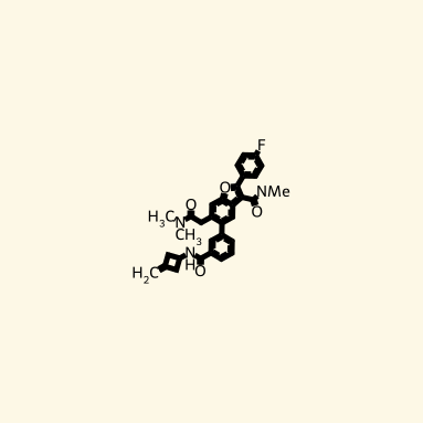 C=C1CC(NC(=O)c2cccc(-c3cc4c(C(=O)NC)c(-c5ccc(F)cc5)oc4cc3CC(=O)N(C)C)c2)C1